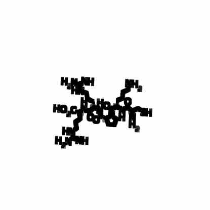 N=C(N)NCCC[C@H](NC(=O)[C@H](CCCNC(=N)N)NC(=O)[C@@H]1CCCN1C(=O)[C@H](CCCCN)NC(=O)[C@@H](N)CS)C(=O)O